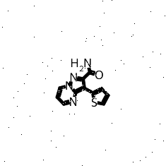 NC(=O)c1nn2cccnc2c1-c1cccs1